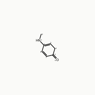 CNC1=CCC(=O)C=C1